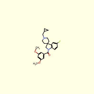 COc1cc(OC)cc(C(=O)N2CC3(CCN(CC4CC4)CC3)c3cc(F)ccc32)c1